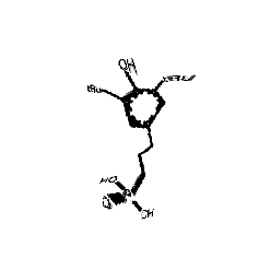 CC(C)(C)c1cc(CCCP(=O)(O)O)cc(C(C)(C)C)c1O